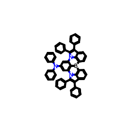 c1ccc(-c2c(-c3ccccc3)n3c4c(cccc24)B2c4c-3cc(N(c3ccccc3)c3ccccc3)cc4-n3c(-c4ccccc4)c(-c4ccccc4)c4cccc2c43)cc1